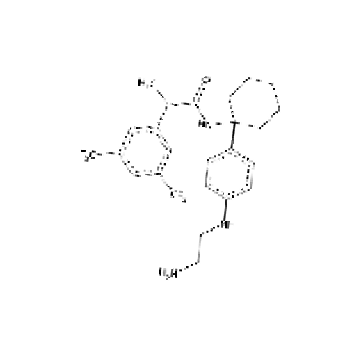 CC(C(=O)NC1(c2ccc(NCCN)cc2)CCCCC1)c1cc(C(F)(F)F)cc(C(F)(F)F)c1